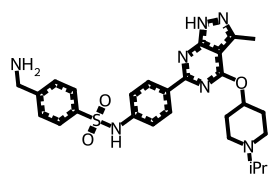 Cc1n[nH]c2nc(-c3ccc(NS(=O)(=O)c4ccc(CN)cc4)cc3)nc(OC3CCN(C(C)C)CC3)c12